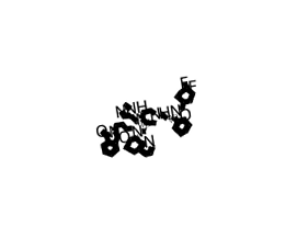 O=C(N[C@@H](CCN1CCN(Cc2cnc[nH]2)[C@@H](CN(CCCCN2C(=O)c3ccccc3C2=O)[C@H]2CCCc3cccnc32)C1)c1ccccc1)C1CCC(F)(F)CC1